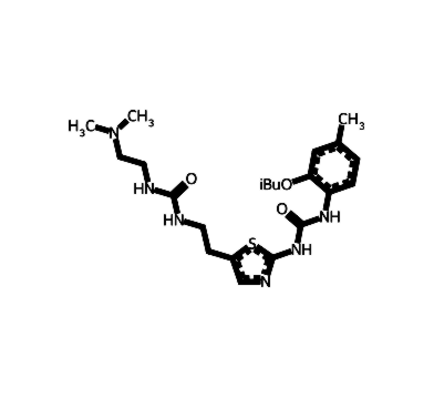 Cc1ccc(NC(=O)Nc2ncc(CCNC(=O)NCCN(C)C)s2)c(OCC(C)C)c1